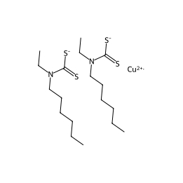 CCCCCCN(CC)C(=S)[S-].CCCCCCN(CC)C(=S)[S-].[Cu+2]